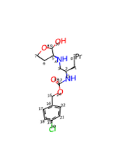 CC(C)C[C@H](CN[C@H]1CCOC1O)NC(=O)OCc1ccc(Cl)cc1